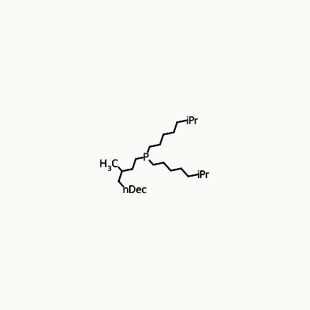 CCCCCCCCCCCC(C)CCP(CCCCCC(C)C)CCCCCC(C)C